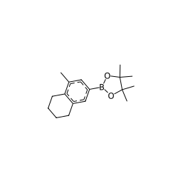 Cc1cc(B2OC(C)(C)C(C)(C)O2)cc2c1CCCC2